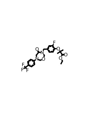 CCOC(=O)C(C)(C)Oc1ccc(CN2COCN(c3ccc(C(F)(F)F)cc3)CC2=O)cc1F